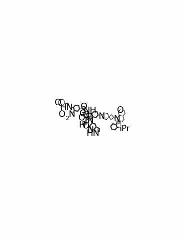 CC(C)c1ccccc1[C@@H]1CCC2CCOCC2N1C1CC2(CCN(c3ccc(C(=O)NS(=O)(=O)c4ccc(NCC5CCOCC5)c([N+](=O)[O-])c4)c(N4c5cc6cc[nH]c6nc5O[C@@H]5COC[C@H]54)c3)CC2)C1